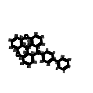 c1ccc(-c2ccc(N3c4cccc5c4B4c6c(cccc6Oc6cccc3c64)O5)cc2)cc1